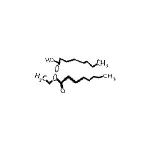 CCCCCCCC(=O)O.CCCCCCCC(=O)OCC